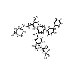 COc1cc2nc(-c3cccc(-c4ccccc4)c3)nc(Nc3ccc4c(cnn4C(=O)OC(C)(C)C)c3)c2cc1OCCN1CCCN(C)CC1